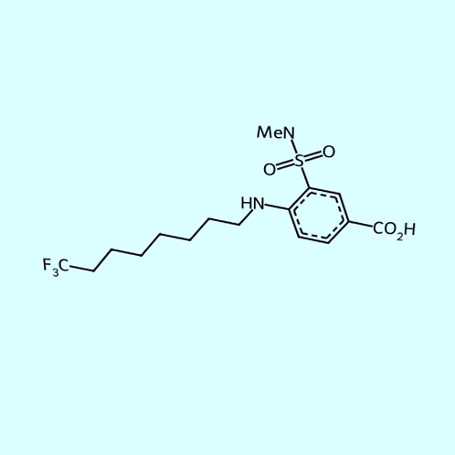 CNS(=O)(=O)c1cc(C(=O)O)ccc1NCCCCCCCC(F)(F)F